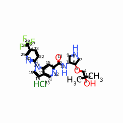 CC(C)(O)CO[C@@H]1CNC[C@H]1NC(=O)c1cc2c(ccn2-c2ccc(C(F)(F)F)cn2)cn1.Cl